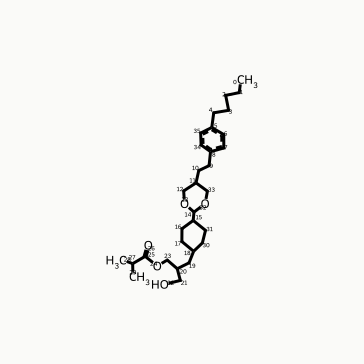 CCCCCc1ccc(CCC2COC(C3CCC(CC(CO)COC(=O)C(C)C)CC3)OC2)cc1